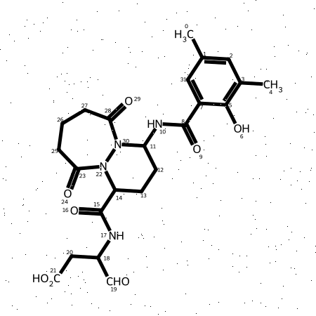 Cc1cc(C)c(O)c(C(=O)NC2CCC(C(=O)NC(C=O)CC(=O)O)N3C(=O)CCCC(=O)N23)c1